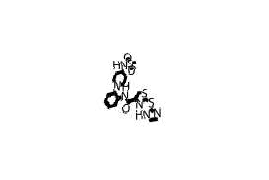 CS(=O)(=O)NC1CCN(c2ccccc2NC(=O)c2csc(Sc3ncc[nH]3)n2)CC1